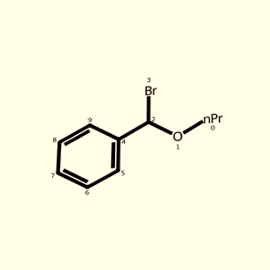 CCCOC(Br)c1ccccc1